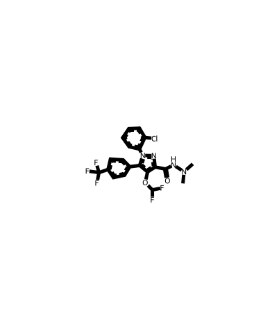 CN(C)NC(=O)c1nn(-c2ccccc2Cl)c(-c2ccc(C(F)(F)F)cc2)c1OC(F)F